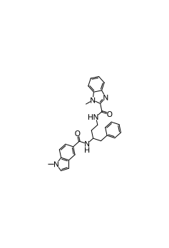 Cn1ccc2cc(C(=O)NC(CCNC(=O)c3nc4ccccc4n3C)Cc3ccccc3)ccc21